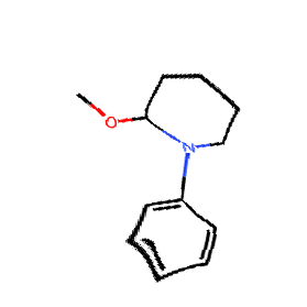 COC1CCCCN1c1ccccc1